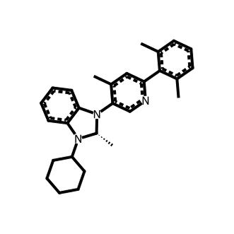 Cc1cc(-c2c(C)cccc2C)ncc1N1c2ccccc2N(C2CCCCC2)[C@H]1C